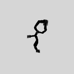 CCC(C=CC#N)N1CCNCC1